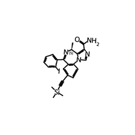 C[C@@H]1N=C(c2ccccc2I)c2cc(C#C[Si](C)(C)C)ccc2-n2cnc(C(N)=O)c21